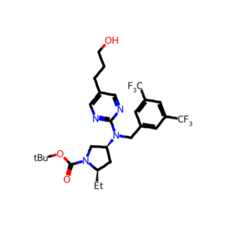 CC[C@@H]1C[C@H](N(Cc2cc(C(F)(F)F)cc(C(F)(F)F)c2)c2ncc(CCCO)cn2)CN1C(=O)OC(C)(C)C